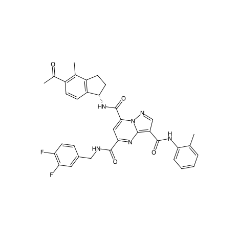 CC(=O)c1ccc2c(c1C)CC[C@@H]2NC(=O)c1cc(C(=O)NCc2ccc(F)c(F)c2)nc2c(C(=O)Nc3ccccc3C)cnn12